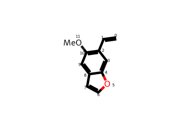 C=Cc1cc2occc2cc1OC